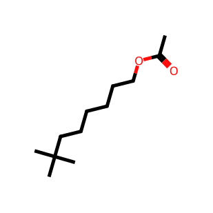 CC(=O)OCCCCCCC(C)(C)C